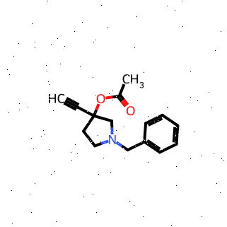 C#CC1(OC(C)=O)CCN(Cc2ccccc2)C1